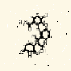 Cc1nc2cccc(Cc3c(C(N)=O)ccc(Cl)c3Cl)c2c(=O)n1C1CCC(=O)NC1=O